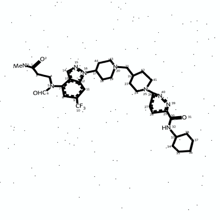 CNC(=O)CCN(C=O)c1cc(C(F)(F)F)cc2c1cnn2C1CCN(CC2CCN(c3ccc(C(=O)NC4CCCCC4)nn3)CC2)CC1